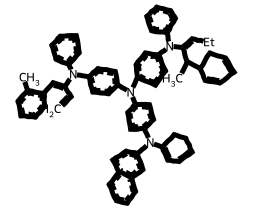 C=C/C(=C\c1ccccc1C)N(c1ccccc1)c1ccc(N(c2ccc(N(C3=CC=CCC3)c3ccc4ccccc4c3)cc2)c2ccc(N(/C(=C/CC)C(C)C3C=CC=CC3)c3ccccc3)cc2)cc1